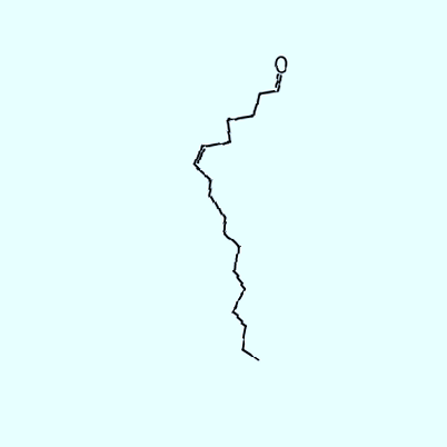 CCCCCCCCCCC/C=C\CCCCC=O